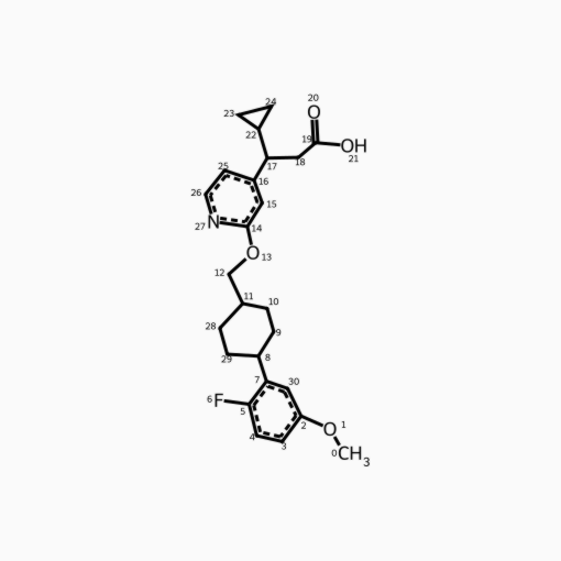 COc1ccc(F)c(C2CCC(COc3cc(C(CC(=O)O)C4CC4)ccn3)CC2)c1